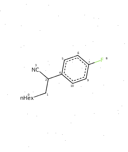 CCCCCCCC(C#N)c1ccc(F)cc1